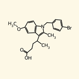 COc1ccc2c(c1)c(C(C)CCC(=O)O)c(C)n2Cc1ccc(Br)cc1